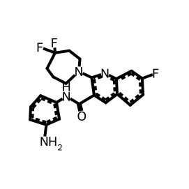 Nc1cccc(NC(=O)c2cc3ccc(F)cc3nc2N2CCCC(F)(F)CC2)c1